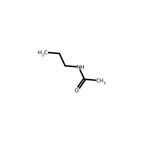 [CH2]CCNC(C)=O